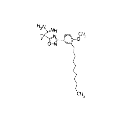 CCCCCCCCCCCc1cc(-c2noc(C3(C(=N)N)CC3)n2)ccc1OC